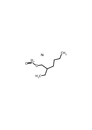 CCCCC(CC)CO[PH2]=O.[Ni]